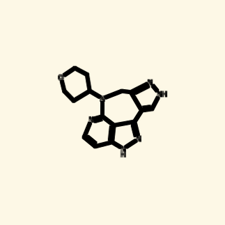 c1cc2[nH]nc3c2c(n1)N(C1CCOCC1)Cc1n[nH]cc1-3